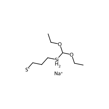 CCOC(OCC)[SiH2]CCC[S-].[Na+]